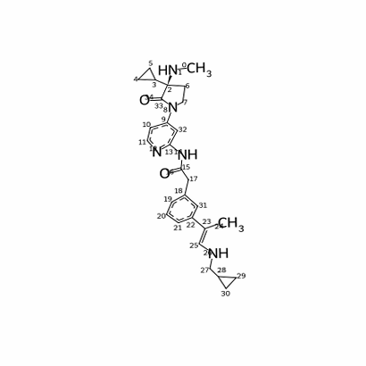 CN[C@@]1(C2CC2)CCN(c2ccnc(NC(=O)Cc3cccc(/C(C)=C/NCC4CC4)c3)c2)C1=O